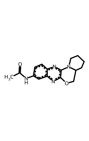 CC(=O)Nc1ccc2nc3c(nc2c1)OCC1CCCCN31